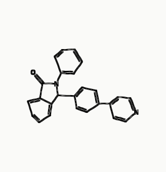 O=C1c2ccccc2C(c2ccc(-c3ccncc3)cc2)N1c1ccccc1